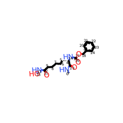 CNC(=O)[C@H](CCCCCC(=O)NO)NC(=O)OCc1ccccc1